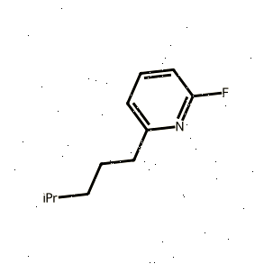 CC(C)CCCc1cccc(F)n1